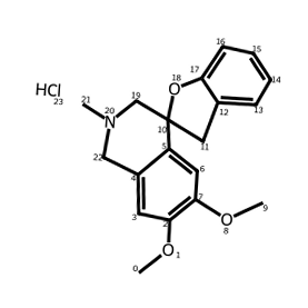 COc1cc2c(cc1OC)C1(Cc3ccccc3O1)CN(C)C2.Cl